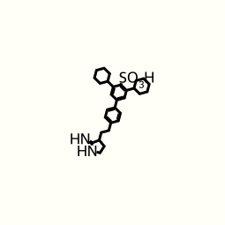 N=C1NCCC1CCc1ccc(-c2cc(C3CCCCC3)c(S(=O)(=O)O)c(C3CCCCC3)c2)cc1